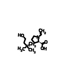 C=CN1CCC[C@H]1C(=O)O.C[N+](C)(C)CCO